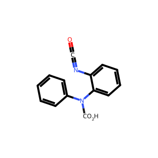 O=C=Nc1ccccc1N(C(=O)O)c1ccccc1